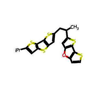 CC(C)c1cc2sc3cc(CC(C)c4cc5oc6ccsc6c5s4)sc3c2s1